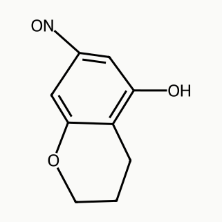 O=Nc1cc(O)c2c(c1)OCCC2